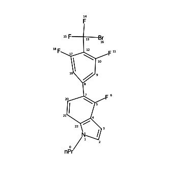 CCCn1ccc2c(F)c(-c3cc(F)c(C(F)(F)Br)c(F)c3)ccc21